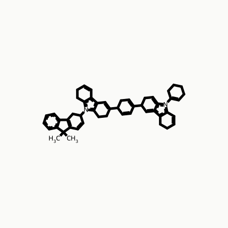 CC1(C)C2=C(CC(n3c4c(c5c3CCC(C3C=CC(C6C=c7c8c(n(C9=CCCCC9)c7=CC6)C=CCC8)=CC3)=C5)C=CCC4)C=C2)c2ccccc21